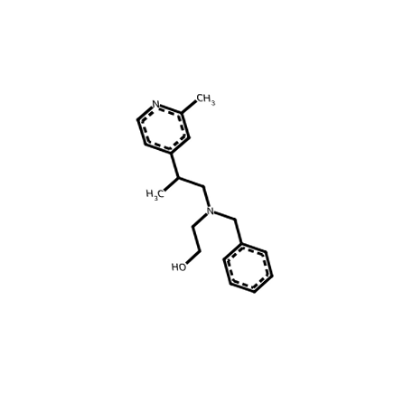 Cc1cc(C(C)CN(CCO)Cc2ccccc2)ccn1